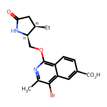 CC[C@@H]1CC(=O)N[C@@H]1COc1nc(C)c(Br)c2cc(C(=O)O)ccc12